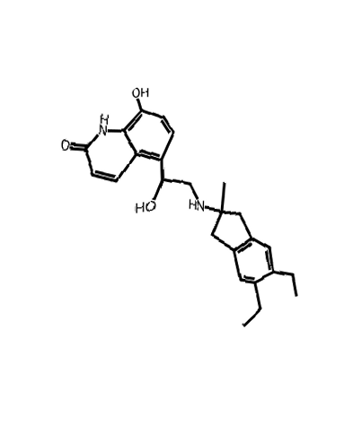 CCc1cc2c(cc1CC)CC(C)(NCC(O)c1ccc(O)c3[nH]c(=O)ccc13)C2